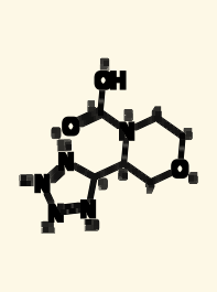 O=C(O)N1CCOCC1C1N=NN=N1